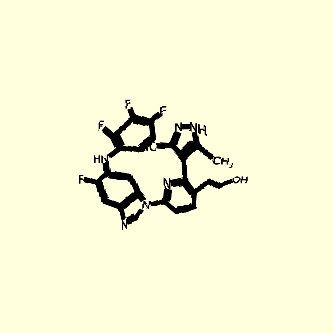 Cc1[nH]nc(C#N)c1-c1nc(-n2cnc3cc(F)c(Nc4ccc(F)c(F)c4F)cc32)ccc1CCO